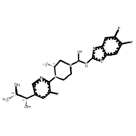 C[C@H](O)[C@@H](O)c1cnc(N2CCN(C(O)Nc3nc4cc(F)c(F)cc4s3)C[C@H]2C)c(F)c1